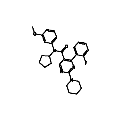 COc1cccc(N(C(=O)c2cnc(N3CCCCC3)nc2-c2ccccc2F)C2CCCC2)c1